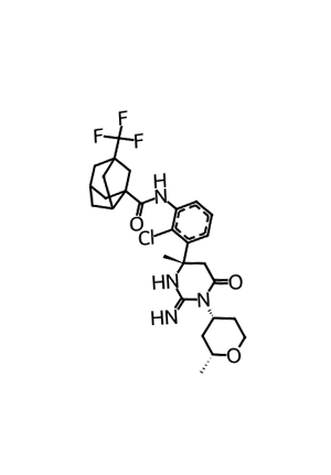 C[C@@H]1C[C@H](N2C(=N)N[C@](C)(c3cccc(NC(=O)C45CC6CC4CC(C(F)(F)F)(C6)C5)c3Cl)CC2=O)CCO1